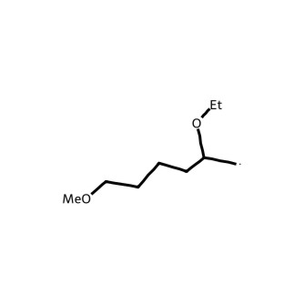 [CH2]C(CCCCOC)OCC